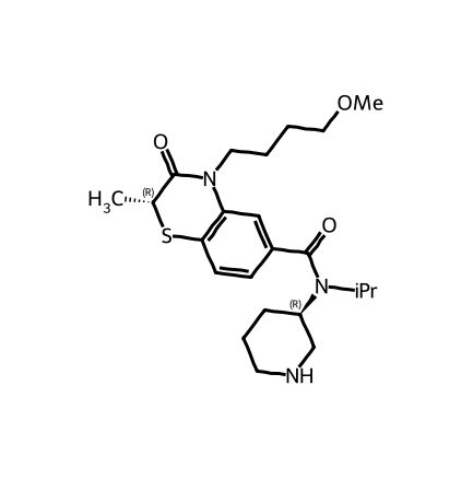 COCCCCN1C(=O)[C@@H](C)Sc2ccc(C(=O)N(C(C)C)[C@@H]3CCCNC3)cc21